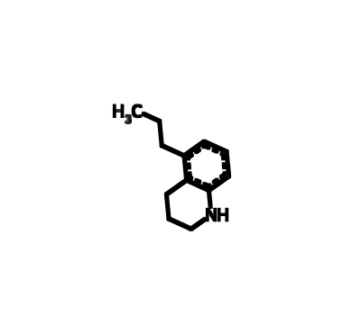 CCCc1cccc2c1CCCN2